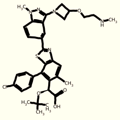 CNCCOC1CN(c2nn(C)c3ccc(-c4nc5cc(C)c([C@H](OC(C)(C)C)C(=O)O)c(-c6ccc(Cl)cc6)c5s4)cc23)C1